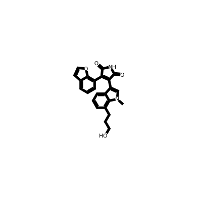 Cn1cc(C2=C(c3cccc4ccoc34)C(=O)NC2=O)c2cccc(CCCO)c21